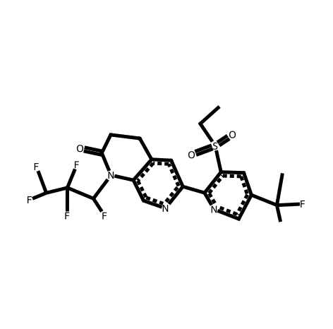 CCS(=O)(=O)c1cc(C(C)(C)F)cnc1-c1cc2c(cn1)N(C(F)C(F)(F)C(F)F)C(=O)CC2